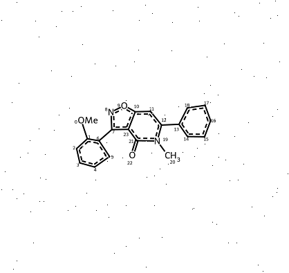 COc1ccccc1-c1noc2cc(-c3ccccc3)n(C)c(=O)c12